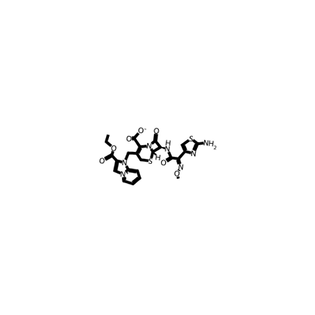 CCOC(=O)c1c[n+]2ccccc2n1CC1=C(C(=O)[O-])N2C(=O)[C@@H](NC(=O)/C(=N\OC)c3csc(N)n3)[C@@H]2SC1